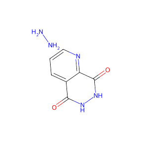 NN.O=c1[nH][nH]c(=O)c2ncccc12